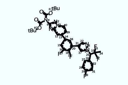 CC(C)(C)OC(=O)N(C(=O)OC(C)(C)C)c1nc2cc(-c3cc(F)c(F)c(-c4cnn(C(c5ccc(F)cc5)C(C)(F)F)c4)c3)ccn2n1